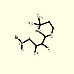 CCN(CC)CC(C)C(Cl)C1NC(C)(C)CCO1